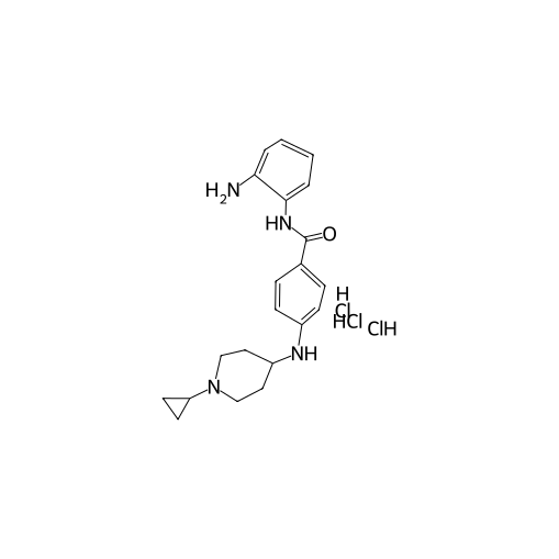 Cl.Cl.Cl.Nc1ccccc1NC(=O)c1ccc(NC2CCN(C3CC3)CC2)cc1